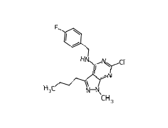 CCCCc1nn(C)c2nc(Cl)nc(NCc3ccc(F)cc3)c12